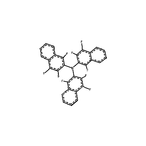 Fc1c(B(c2c(F)c(F)c3ccccc3c2F)c2c(F)c(F)c3ccccc3c2F)c(F)c2ccccc2c1F